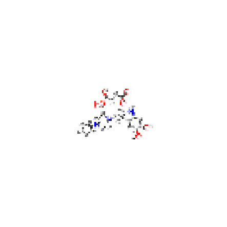 COc1cc2c(cc1OC)N(C)C(C)C2CCN1CCN(c2ccccc2)CC1.O=C(O)C=CC(=O)O